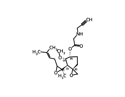 C#CCNCC(=O)O[C@@H]1CC[C@]2(CO2)[C@@H]([C@@]2(C)OC2CC=C(C)C)[C@@H]1OC